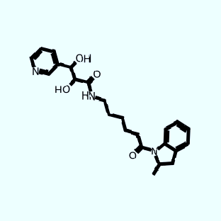 CC1Cc2ccccc2N1C(=O)CCCCCNC(=O)C(O)C(O)c1cccnc1